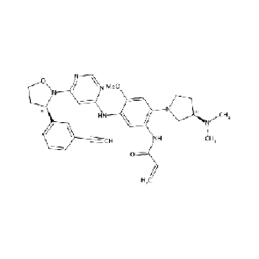 C#Cc1cccc([C@H]2CCON2c2cc(Nc3cc(NC(=O)C=C)c(N4CC[C@@H](N(C)C)C4)cc3OC)ncn2)c1